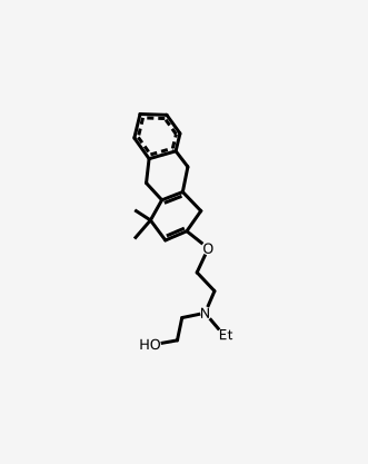 CCN(CCO)CCOC1=CC(C)(C)C2=C(C1)Cc1ccccc1C2